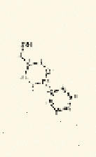 OCC1COP(c2ccccc2)SC1